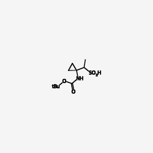 CC(C1(NC(=O)OC(C)(C)C)CC1)S(=O)(=O)O